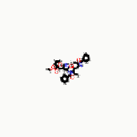 CCOC(=O)C1(Cc2ccc(OC(Cc3nc(-c4ccccc4)oc3C)c3nc(-c4ccccc4)oc3C)nc2)CCCO1